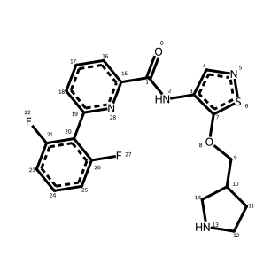 O=C(Nc1cnsc1OCC1CCNC1)c1cccc(-c2c(F)cccc2F)n1